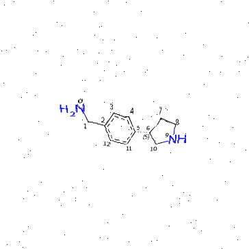 NCc1ccc([C@@H]2CCNC2)cc1